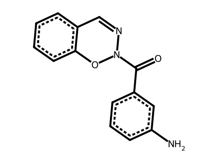 Nc1cccc(C(=O)N2N=Cc3ccccc3O2)c1